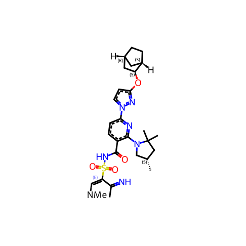 CN/C=C(\C(C)=N)S(=O)(=O)NC(=O)c1ccc(-n2ccc(O[C@H]3C[C@@H]4CC[C@H]3C4)n2)nc1N1C[C@@H](C)CC1(C)C